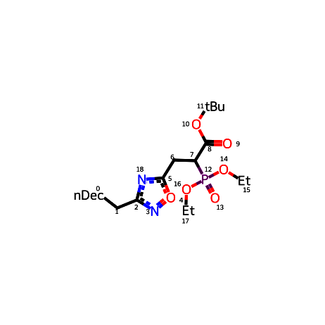 CCCCCCCCCCCc1noc(CC(C(=O)OC(C)(C)C)P(=O)(OCC)OCC)n1